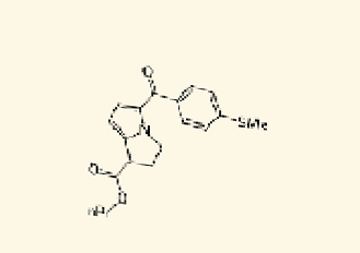 CCCOC(=O)C1CCn2c(C(=O)c3ccc(SC)cc3)ccc21